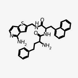 Nc1nccc2sc(CNC(=O)C(Cc3cccc4ccccc34)NC(=O)C(N)CCc3ccccc3)cc12